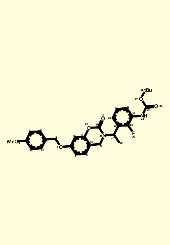 COc1ccc(COc2ccc3c(c2)OC(=O)N(C(C)c2cccc(NC(=O)OC(C)(C)C)c2F)C3)cc1